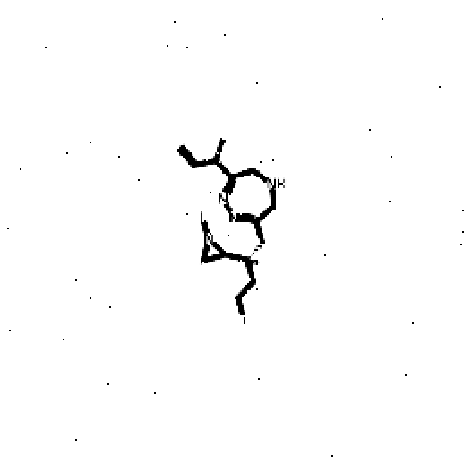 C=CC(C)C1=NN=C(C[C@H](CCI)C2CN2I)CNC1